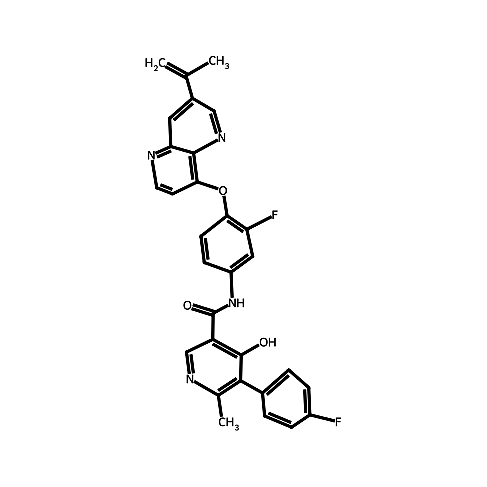 C=C(C)c1cnc2c(Oc3ccc(NC(=O)c4cnc(C)c(-c5ccc(F)cc5)c4O)cc3F)ccnc2c1